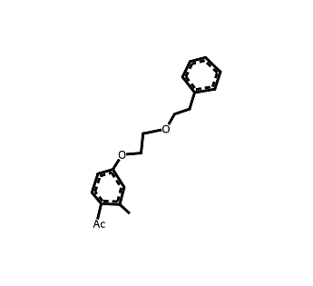 CC(=O)c1ccc(OCCOCCc2ccccc2)cc1C